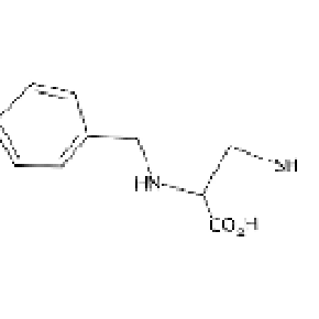 O=C(O)C(CS)NCc1ccccc1